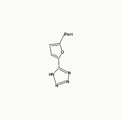 CCCC(C)c1ccc(-c2nnn[nH]2)o1